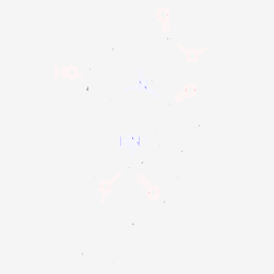 COC(=O)C1C[C@@H](O)CN1C(=O)[C@@H](NC(=O)OC1CCCC1)C(C)(C)C